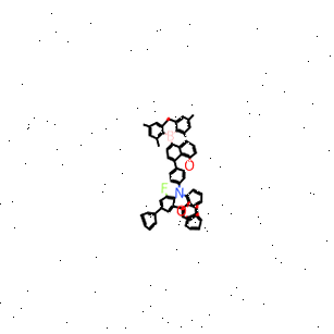 Cc1cc(C)c(B(c2c(C)cc(C)cc2C)c2ccc3c4c(cccc24)Oc2cc(N(c4c(F)cc(-c5ccccc5)cc4-c4ccccc4)c4cccc5c4oc4ccccc45)ccc2-3)c(C)c1